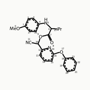 COc1ccc(NC(C(=O)OC(C#N)c2cccc(Oc3ccccc3)n2)C(C)C)cc1